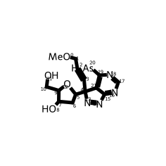 COCC#CC1(C2CC(O)C(CO)O2)N=Nc2ncnc([AsH2])c21